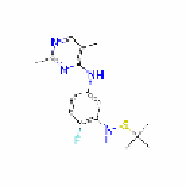 Cc1ncc(C)c(Nc2ccc(F)c(NSC(C)(C)C)c2)n1